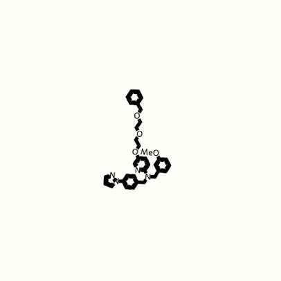 COc1cccc(CN(Cc2ccc(-n3cccn3)cc2)c2ccc(OCCOCCOCc3ccccc3)cn2)c1